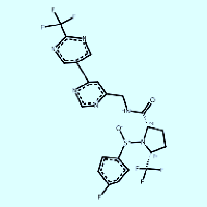 O=C(NCc1cc(-c2cnc(C(F)(F)F)nc2)ncn1)[C@@H]1CC[C@H](C(F)(F)F)N1[S+]([O-])c1ccc(F)cc1